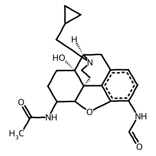 CC(=O)NC1CC[C@@]2(O)[C@H]3Cc4ccc(NC=O)c5c4[C@@]2(CCN3CC2CC2)C1O5